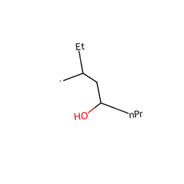 [CH2]C(CC)CC(O)CCC